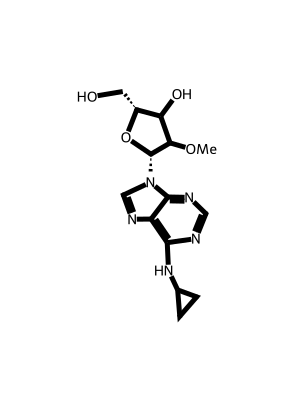 COC1C(O)[C@@H](CO)O[C@H]1n1cnc2c(NC3CC3)ncnc21